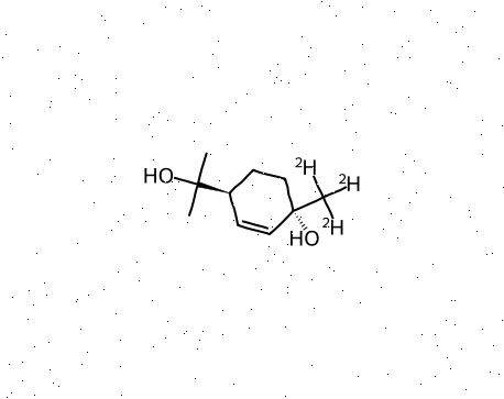 [2H]C([2H])([2H])[C@@]1(O)C=C[C@@H](C(C)(C)O)CC1